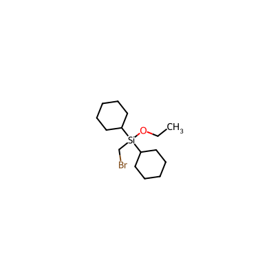 CCO[Si](CBr)(C1CCCCC1)C1CCCCC1